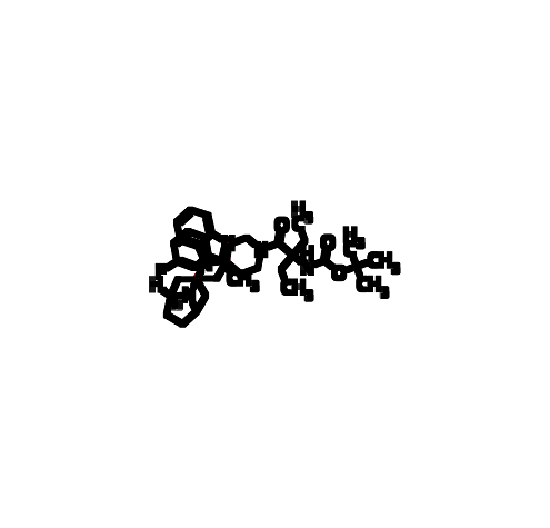 CCC(CC)(NC(=O)OC(C)(C)C)C(=O)N1CCC(CCN2C3CC[C@@H]2CC(n2c(C)nc4ccccc42)C3)(c2cccc(F)c2)CC1